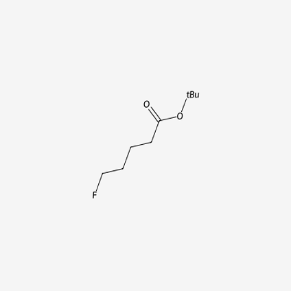 CC(C)(C)OC(=O)CCCCF